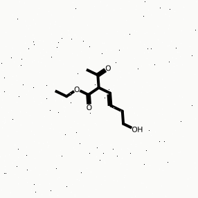 CCOC(=O)C(/C=C/CCO)C(C)=O